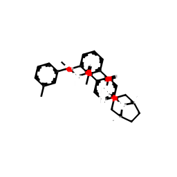 COc1cccc(C(=O)N[C@H]2C[C@H]3CC[C@@H](C2)N3c2ccc(C(=O)NCc3cccc(C)c3)cn2)c1C